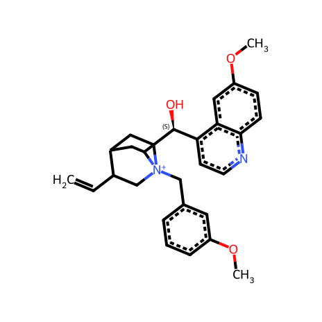 C=CC1C[N+]2(Cc3cccc(OC)c3)CCC1CC2[C@@H](O)c1ccnc2ccc(OC)cc12